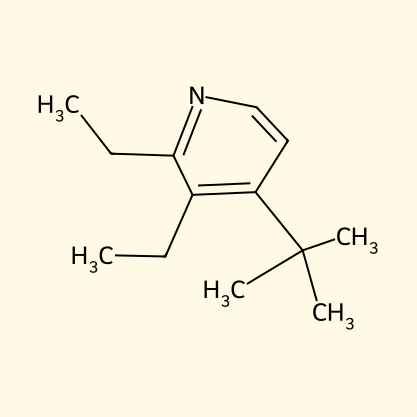 CCc1nccc(C(C)(C)C)c1CC